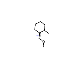 CO/C=C1/CCCCC1C